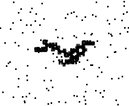 COc1ccc2nc(NN)c(OCCCCNC(=O)OC(C)(C)C)nc2c1